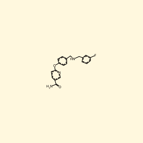 NC(=O)c1ccc(Oc2ccc(CNCc3cccc(F)c3)cc2)nc1